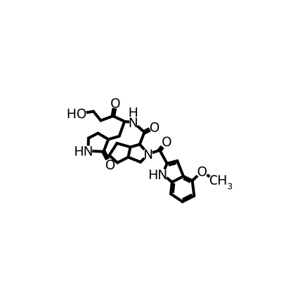 COc1cccc2[nH]c(C(=O)N3CC4CCCC4C3C(=O)NC(CC3CCNC3=O)C(=O)CCO)cc12